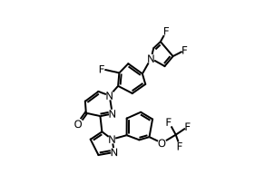 O=c1ccn(-c2ccc(-n3cc(F)c(F)c3)cc2F)nc1-c1ccnn1-c1cccc(OC(F)(F)F)c1